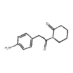 Nc1ccc(CC(=O)N2CCCCC2=O)cc1